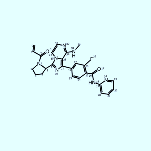 C=CC(=O)N1CCCC1c1nc(-c2ccc(C(=O)Nc3ccccn3)c(F)c2)c2c(NC)nccn12